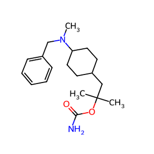 CN(Cc1ccccc1)C1CCC(CC(C)(C)OC(N)=O)CC1